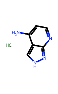 Cl.Nc1ccnc2n[nH]cc12